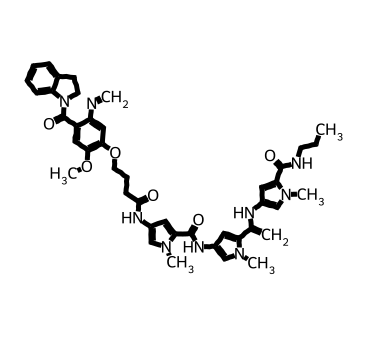 C=Nc1cc(OCCCC(=O)Nc2cc(C(=O)Nc3cc(C(=C)Nc4cc(C(=O)NCCC)n(C)c4)n(C)c3)n(C)c2)c(OC)cc1C(=O)N1CCc2ccccc21